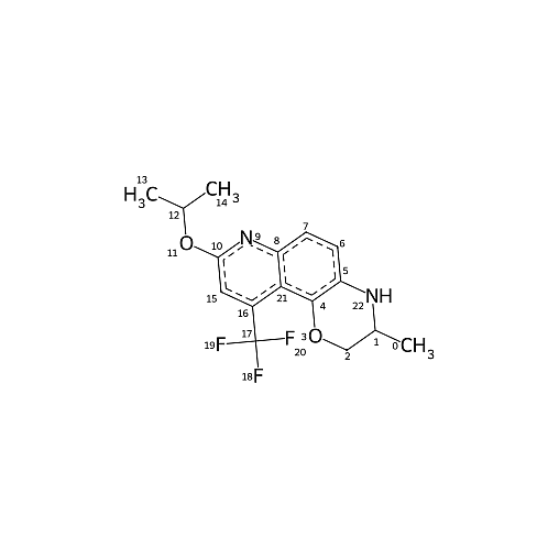 CC1COc2c(ccc3nc(OC(C)C)cc(C(F)(F)F)c23)N1